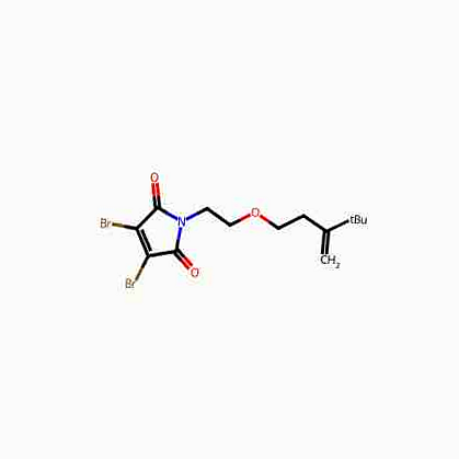 C=C(CCOCCN1C(=O)C(Br)=C(Br)C1=O)C(C)(C)C